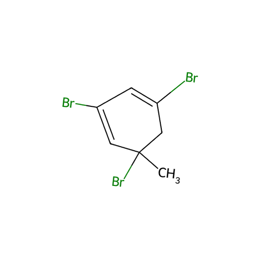 CC1(Br)C=C(Br)C=C(Br)C1